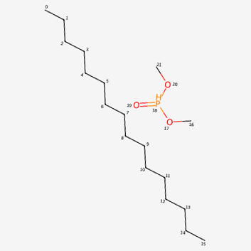 CCCCCCCCCCCCCCCC.CO[PH](=O)OC